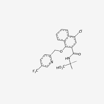 CC(C)(NC(=O)c1cc(Cl)c2ccccc2c1OCc1ccc(C(F)(F)F)cn1)C(=O)O